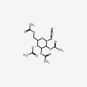 CC(=O)OCC1O[C@@H](N=[N+]=[N-])C(OC(C)=O)C(OC(C)=O)[C@@H]1OC(C)=O